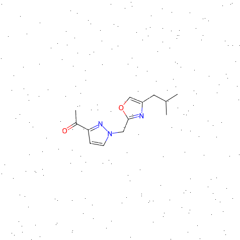 C[C](C)Cc1coc(Cn2ccc(C(C)=O)n2)n1